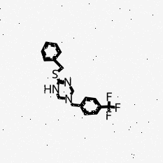 FC(F)(F)c1ccc(CN2CN=C(SCc3ccccc3)NC2)cc1